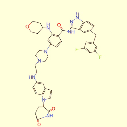 O=C1CCC(n2ccc3cc(NCCN4CCN(c5ccc(C(=O)Nc6n[nH]c7ccc(Cc8cc(F)cc(F)c8)cc67)c(NC6CCOCC6)c5)CC4)ccc32)C(=O)N1